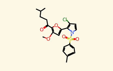 COc1cc(-c2c(Cl)ccn2S(=O)(=O)c2ccc(C)cc2)oc1C(=O)CCC(C)C